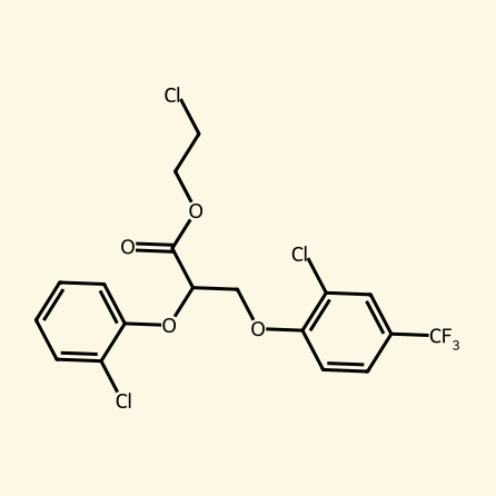 O=C(OCCCl)C(COc1ccc(C(F)(F)F)cc1Cl)Oc1ccccc1Cl